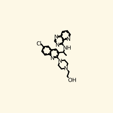 CC(Nc1ncnc2cccnc12)c1cc2cc(Cl)ccc2nc1N1CCN(CCO)CC1